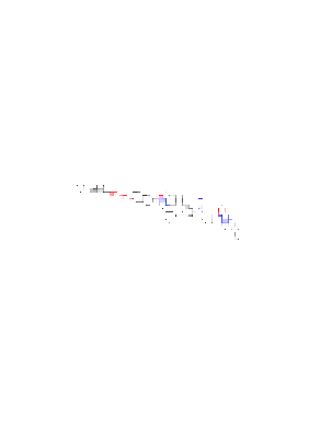 COCCOCOc1ccc2cc(C(=O)N(C)Cc3cccc(-c4ccc(Nc5cccc(C(=O)N6CCC(C)CC6)c5)cc4)c3)ccc2c1